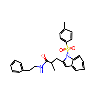 Cc1ccc(S(=O)(=O)n2c(CC(C)C(=O)NCCc3ccccc3)cc3ccccc32)cc1